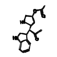 CC(=O)OC1CNC(C(C(C)=O)C2CNc3ccccc32)C1